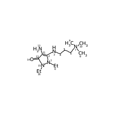 CCn1c(NCCC[N+](C)(C)C)c(N)c(=O)n1CC